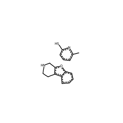 Cc1cccc(S)n1.c1ccc2c3c(oc2c1)CNCC3